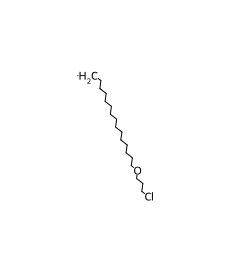 [CH2]CCCCCCCCCCCCCCOCCCCl